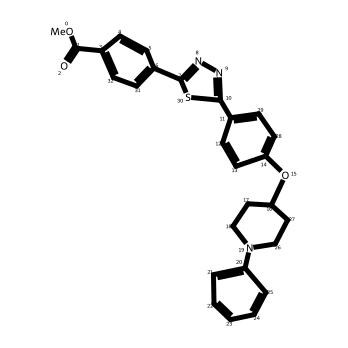 COC(=O)c1ccc(-c2nnc(-c3ccc(OC4CCN(c5ccccc5)CC4)cc3)s2)cc1